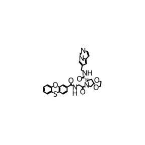 O=C(NCC(=O)N1CC2(C[C@H]1C(=O)NCc1cc3ccncn3c1)OCCO2)c1ccc2c(c1)Oc1ccccc1S2